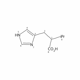 CC(C)C(Cc1c[nH]cn1)C(=O)O